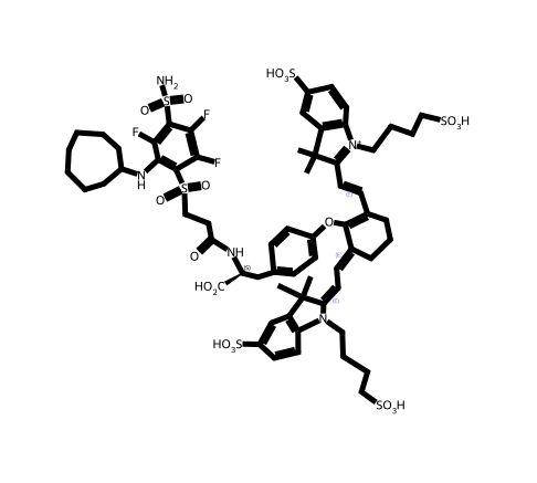 CC1(C)C(/C=C/C2=C(Oc3ccc(C[C@H](NC(=O)CCS(=O)(=O)c4c(F)c(F)c(S(N)(=O)=O)c(F)c4NC4CCCCCCC4)C(=O)O)cc3)C(=C/C=C3/N(CCCCS(=O)(=O)O)c4ccc(S(=O)(=O)O)cc4C3(C)C)/CCC2)=[N+](CCCCS(=O)(=O)O)c2ccc(S(=O)(=O)O)cc21